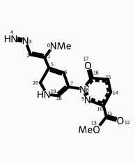 CN/C(=C\N=N)C1=CC(n2nc(C(=O)OC)ccc2=O)=CNC1